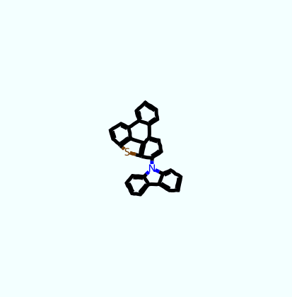 c1ccc2c(c1)c1cccc3sc4c(-n5c6ccccc6c6ccccc65)ccc2c4c31